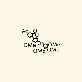 COc1cc2c(cc1OCc1cc(OC)c(OC)c(OC)c1)oc(=O)c1cc(C(C)=O)ccc12